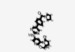 O=C(c1ccc(-c2cnc(Nc3cnc4c(c3)N3C(=O)CC[C@H]3CO4)nc2)cc1)N1CCCC1